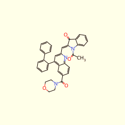 CC(=O)N1/C(=C\c2cc(-c3ccccc3-c3ccccc3)c3cc(C(=O)N4CCOCC4)ccc3n2)C(=O)c2ccccc21